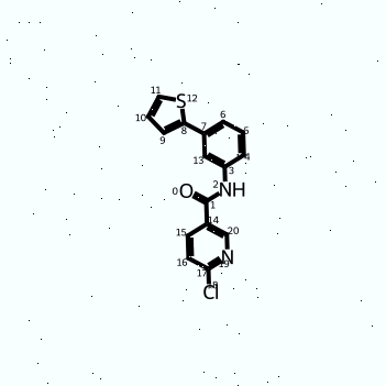 O=C(Nc1[c]ccc(-c2cccs2)c1)c1ccc(Cl)nc1